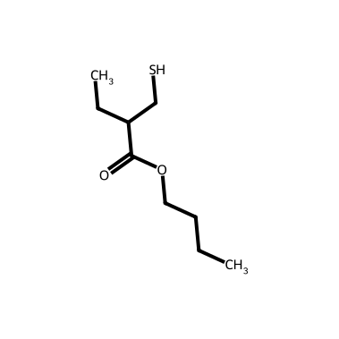 CCCCOC(=O)C(CC)CS